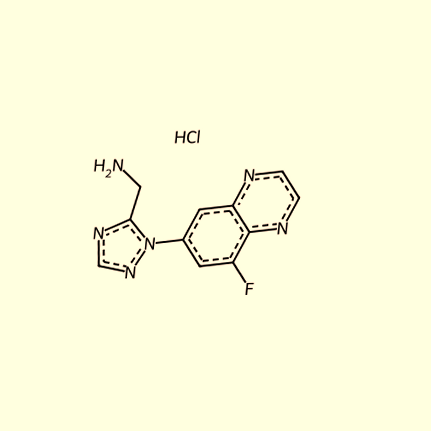 Cl.NCc1ncnn1-c1cc(F)c2nccnc2c1